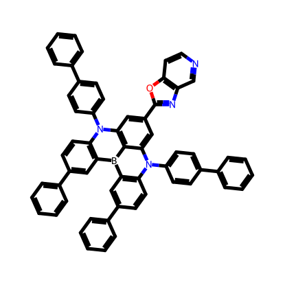 c1ccc(-c2ccc(N3c4ccc(-c5ccccc5)cc4B4c5cc(-c6ccccc6)ccc5N(c5ccc(-c6ccccc6)cc5)c5cc(-c6nc7cnccc7o6)cc3c54)cc2)cc1